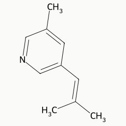 CC(C)=Cc1cncc(C)c1